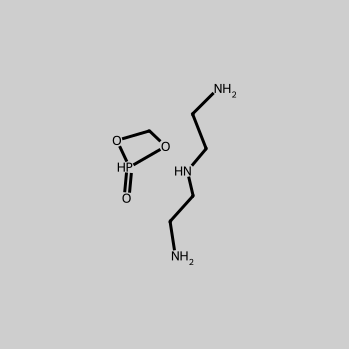 NCCNCCN.O=[PH]1OCO1